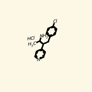 CC(N)C(Cc1ccc(Cl)cc1)c1ccncc1.Cl